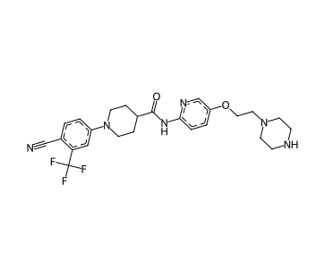 N#Cc1ccc(N2CCC(C(=O)Nc3ccc(OCCN4CCNCC4)cn3)CC2)cc1C(F)(F)F